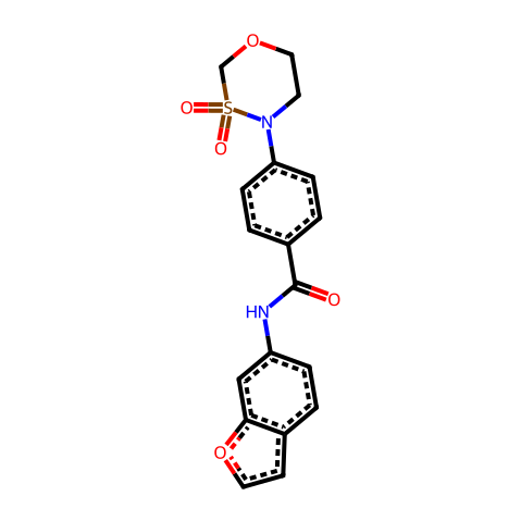 O=C(Nc1ccc2ccoc2c1)c1ccc(N2CCOCS2(=O)=O)cc1